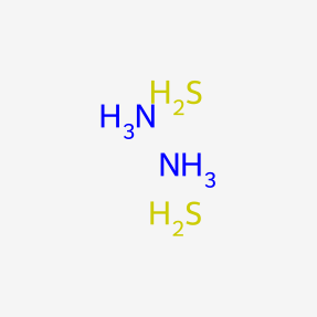 N.N.S.S